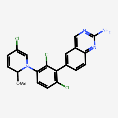 COC1C=CC(Cl)=CN1c1ccc(Cl)c(-c2ccc3nc(N)ncc3c2)c1Cl